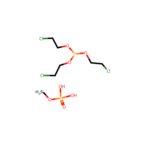 ClCCOP(OCCCl)OCCCl.O=P(O)(O)O[SiH3]